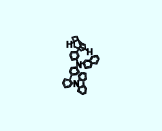 C1=C2C3C4C[C@H]1CC2(c1cccc(N(c2ccc(-c5ccccc5-n5c6ccccc6c6ccccc65)cc2)c2ccc5ccccc5c2)c1)C[C@@H]3C4